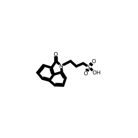 O=C1c2cccc3cccc(c23)N1CCCS(=O)(=O)O